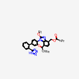 CCCC(=O)OCc1ccc(C(=O)OC)c2c1nc(OCC)n2-c1ccc(-c2ccccc2-c2nnn[nH]2)cc1